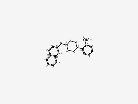 COc1ccccc1C1CCN(Cc2ccc3ccccc3n2)CC1